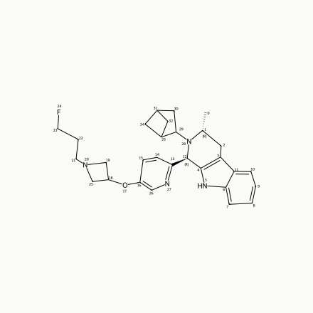 C[C@@H]1Cc2c([nH]c3ccccc23)[C@@H](c2ccc(OC3CN(CCCF)C3)cn2)N1C1CC2CC1C2